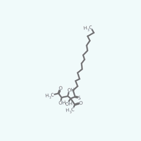 CCCCCCCCCCCCCCCC(=S)C(O)(C(C)=O)C(O)C(O)C(C)=O